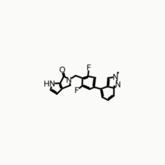 Cn1cc2c(-c3cc(F)c(CN4Cc5cc[nH]c5C4=O)c(F)c3)cccc2n1